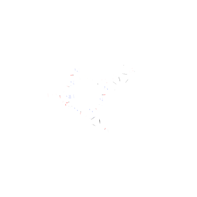 CNC(=O)[C@@H]1CSSCC[C@@H](NC(=O)c2oc3c(OC)c(OC)ccc3c2C)C(=O)N[C@@H](C)C(=O)N[C@@H](Cc2ccc(OC)cc2)C(=O)N2CCC[C@H]2C(=O)N[C@@H](CC(=O)O)C(=O)N1